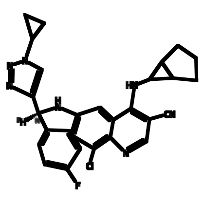 [2H][C@](Nc1cc(Cl)c2ncc(C#N)c(NC3C4CCCC43)c2c1)(c1ccc(F)cc1)c1cn(C2CC2)nn1